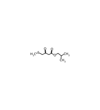 CSCC(=O)CC(=O)OCC(C)C